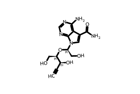 C#C[C@H](O)[C@@H](CO)O[C@H](CO)n1cc(C(N)=O)c2c(N)ncnc21